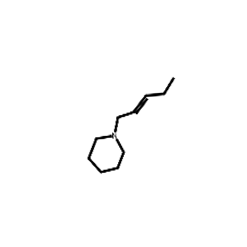 CC/C=C/CN1CCCCC1